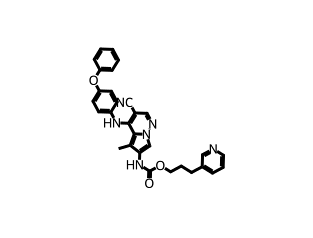 Cc1c(NC(=O)OCCCc2cccnc2)cn2ncc(C#N)c(Nc3ccc(Oc4ccccc4)cc3)c12